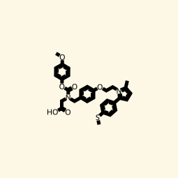 COc1ccc(OC(=O)N(CC(=O)O)Cc2ccc(OCCn3c(C)ccc3-c3ccc(SC)cc3)cc2)cc1